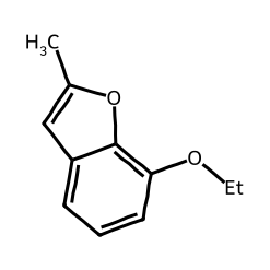 CCOc1cccc2cc(C)oc12